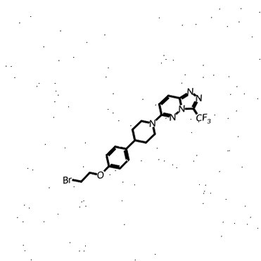 FC(F)(F)c1nnc2ccc(N3CCC(c4ccc(OCCBr)cc4)CC3)nn12